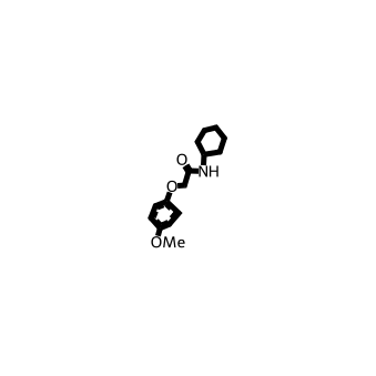 COc1ccc(OCC(=O)NC2CCCCC2)cc1